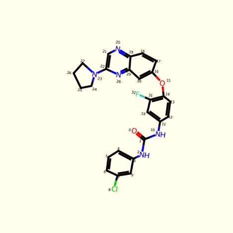 O=C(Nc1cccc(Cl)c1)Nc1ccc(Oc2ccc3ncc(N4CCCC4)nc3c2)c(F)c1